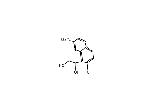 COc1cnc2ccc(Cl)c(C(O)CO)c2n1